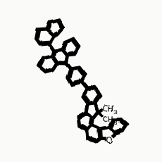 CC1(C)c2ccc(-c3ccc(-c4c5ccccc5c(-c5cccc6ccccc56)c5ccccc45)cc3)cc2-c2ccc3ccc4oc5ccccc5c4c3c21